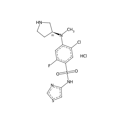 CN(c1cc(F)c(S(=O)(=O)Nc2cscn2)cc1Cl)[C@H]1CCNC1.Cl